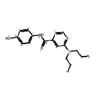 CCCN(CCC)c1cc(C(=O)Nc2ccc(O)cc2)ncn1